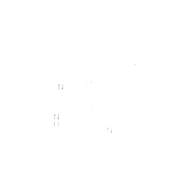 COc1c(C#N)cc2ccccc2c1COCC(c1ccc(C)cc1)N1CCNCC1